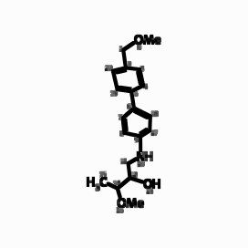 COCc1ccc(-c2ccc(NCC(O)C(C)OC)cc2)cc1